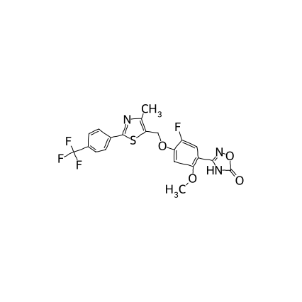 COc1cc(OCc2sc(-c3ccc(C(F)(F)F)cc3)nc2C)c(F)cc1-c1noc(=O)[nH]1